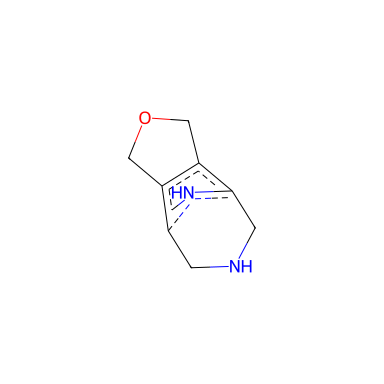 C1NCc2[nH]c1c1c2COC1